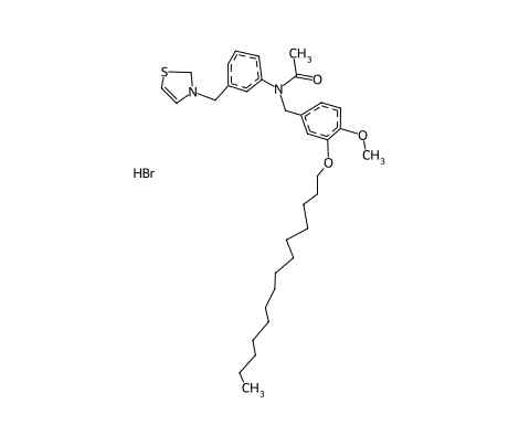 Br.CCCCCCCCCCCCCCOc1cc(CN(C(C)=O)c2cccc(CN3C=CSC3)c2)ccc1OC